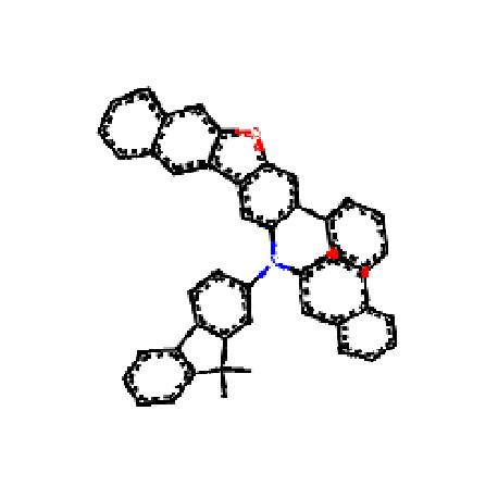 CC1(C)c2ccccc2-c2ccc(N(c3ccc4ccccc4c3)c3cc4c(cc3-c3ccccc3)oc3cc5ccccc5cc34)cc21